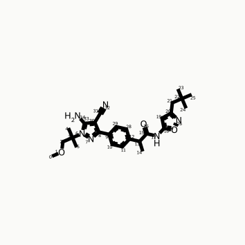 COCC(C)(C)n1nc(-c2ccc(C(C)C(=O)Nc3cc(CC(C)(C)C)no3)cc2)c(C#N)c1N